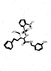 O=C(NCc1cccc(O)c1)C(NS(=O)(=O)c1ccccc1[N+](=O)[O-])[C@@H](CO)CCc1ccccc1